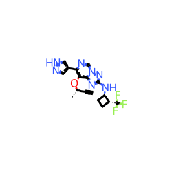 C#C[C@H](C)Oc1c(-c2cn[nH]c2)ncn2nc(N[C@@H]3CC[C@H]3C(F)(F)F)nc12